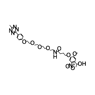 COc1cc(C(C)O)c([N+](=O)[O-])cc1OCCCC(=O)NCCOCCOCCOCCOc1ccc(-c2nnc(C)nn2)cc1